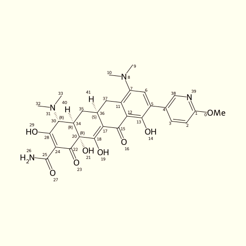 COc1ccc(-c2cc(N(C)C)c3c(c2O)C(=O)C2=C(O)[C@@]4(O)C(=O)C(C(N)=O)=C(O)[C@H](N(C)C)[C@H]4C[C@H]2C3)cn1